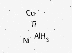 [AlH3].[Cu].[Ni].[Ti]